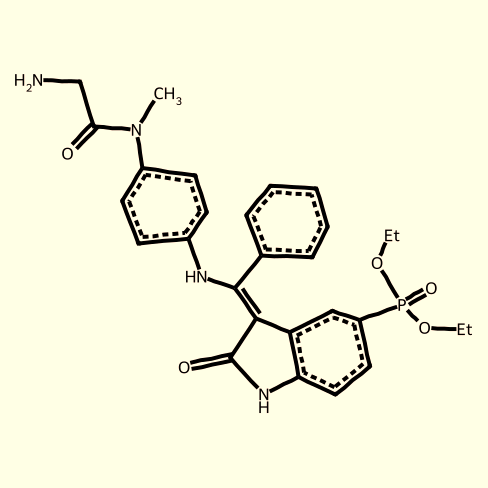 CCOP(=O)(OCC)c1ccc2c(c1)/C(=C(/Nc1ccc(N(C)C(=O)CN)cc1)c1ccccc1)C(=O)N2